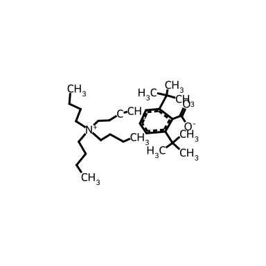 CC(C)(C)c1cccc(C(C)(C)C)c1C(=O)[O-].CCCC[N+](CCCC)(CCCC)CCCC